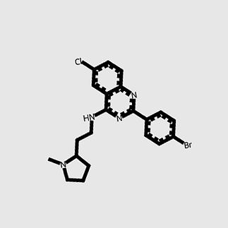 CN1CCCC1CCNc1nc(-c2ccc(Br)cc2)nc2ccc(Cl)cc12